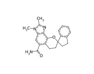 Cc1nc2c3c(c(C(N)=O)cc2n1C)CCC1(CCc2ccccc21)O3